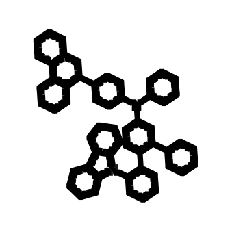 c1ccc(-c2cc(N(c3ccccc3)c3ccc(-c4cc5ccccc5c5ccccc45)cc3)ccc2-c2ccccc2-n2c3ccccc3c3ccccc32)cc1